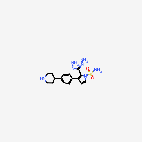 N/N=C(\NN)c1c(-c2ccc(C3CCNCC3)cc2)ccn1S(N)(=O)=O